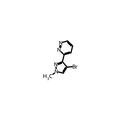 Cn1cc(Br)c(-c2cccnn2)n1